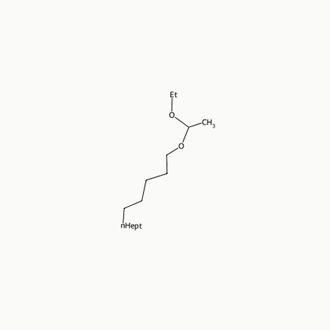 CCCCCCCCCCCCOC(C)OCC